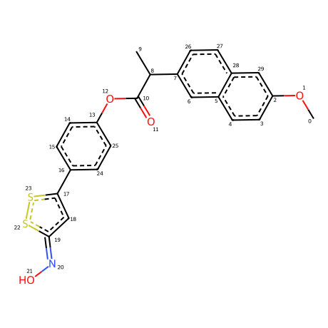 COc1ccc2cc(C(C)C(=O)Oc3ccc(-c4c/c(=N/O)ss4)cc3)ccc2c1